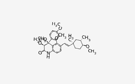 COc1ccc([C@]2(OC)c3c(ccc(/C=C/[C@]4(C)CC[C@H](OC)[C@@H](C)C4)c3OC)NC(=O)[C@H]2OC)cc1